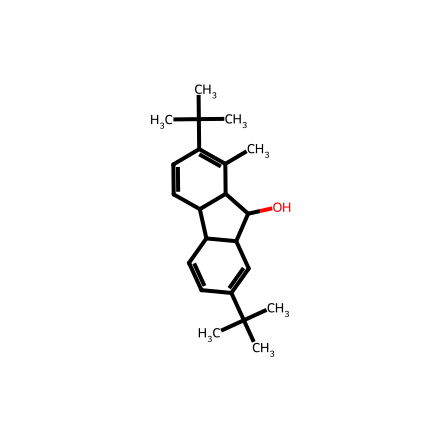 CC1=C(C(C)(C)C)C=CC2C3C=CC(C(C)(C)C)=CC3C(O)C12